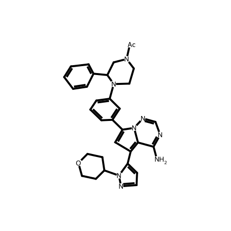 CC(=O)N1CCN(c2cccc(-c3cc(-c4ccnn4C4CCOCC4)c4c(N)ncnn34)c2)C(c2ccccc2)C1